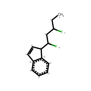 CCC(F)CC(F)C1C=Cc2ccccc21